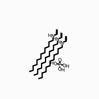 C=CNCCCCCCCCCCCC.C=CNCCCCCCCCCCCC.C=CNCCCCCCCCCCCC.O=P(O)(O)O